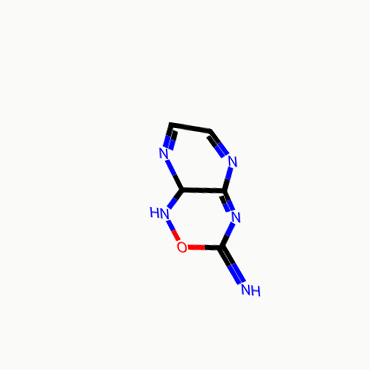 N=C1N=C2N=CC=NC2NO1